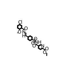 CCOC(=O)c1ccc(C(=O)NS(=O)(=O)c2ccc(CCNC(=O)c3cc(Cl)ccc3OC)cc2)cn1